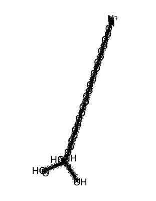 [N-]=[N+]=NCCOCCOCCOCCOCCOCCOCCOCCOCCOCCOCCOCCOCCOCCOCCOCCOCCOCCOCCOCCOCCOCCOCCOCCNC1C(O)C1(CCCCCCCCCCCO)CCCCCCCCCCC(=O)O